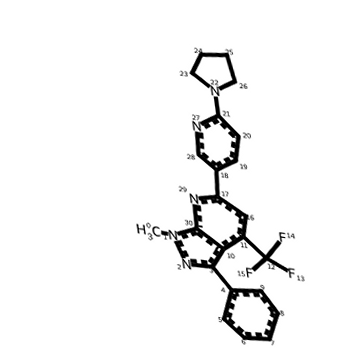 Cn1nc(-c2ccccc2)c2c(C(F)(F)F)cc(-c3ccc(N4CCCC4)nc3)nc21